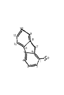 [S]c1cccc2c1Cc1ccccc1-2